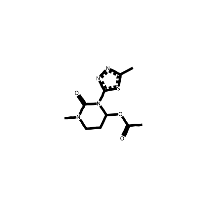 CC(=O)OC1CCN(C)C(=O)N1c1nnc(C)s1